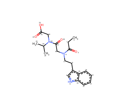 CCC(=O)N(CCc1c[nH]c2ccccc12)CC(=O)N(CC(=O)O)C(C)C